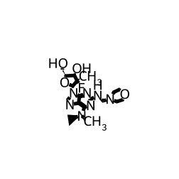 CN(c1nc(NCN2CCOCC2)nc2c1ncn2[C@@H]1O[C@H](CO)[C@@H](O)[C@@]1(C)F)C1CC1